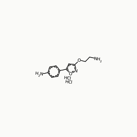 Cl.Cl.NCCOc1cc(-c2ccc(N)cc2)on1